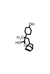 CC(CC1CC2C=CC1C2)(C(=O)O)C1CCC(O)CC1